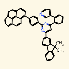 CC1(C)c2ccccc2-c2ccc(-c3cc(-c4ccccc4-c4cccnc4)nc(-c4ccc(-c5ccc6ccc7cccc8ccc5c6c78)cc4)n3)cc21